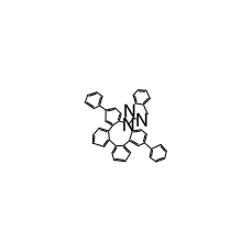 c1ccc(-c2ccc3c(c2)c2ccccc2c2ccccc2c2cc(-c4ccccc4)ccc2n3-c2ncc3ccccc3n2)cc1